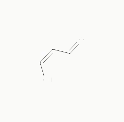 C/C=C\[C]=O